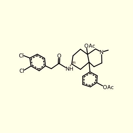 CC(=O)Oc1cccc(C23CCN(C)CC2(OC(C)=O)CC[C@@H](NC(=O)Cc2ccc(Cl)c(Cl)c2)C3)c1